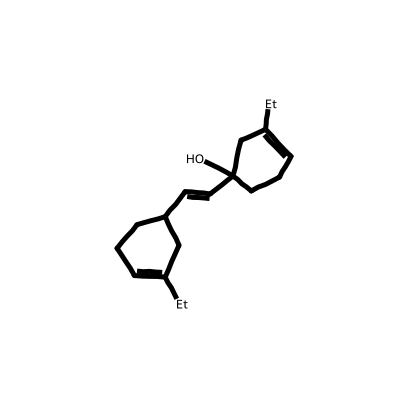 CCC1=CCCC(/C=C/C2(O)CCC=C(CC)C2)C1